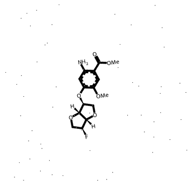 COC(=O)c1cc(OC)c(O[C@H]2CO[C@H]3[C@@H]2OC[C@@H]3F)cc1N